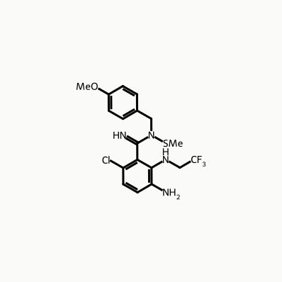 COc1ccc(CN(SC)C(=N)c2c(Cl)ccc(N)c2NCC(F)(F)F)cc1